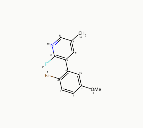 COc1ccc(Br)c(-c2cc(C)cnc2F)c1